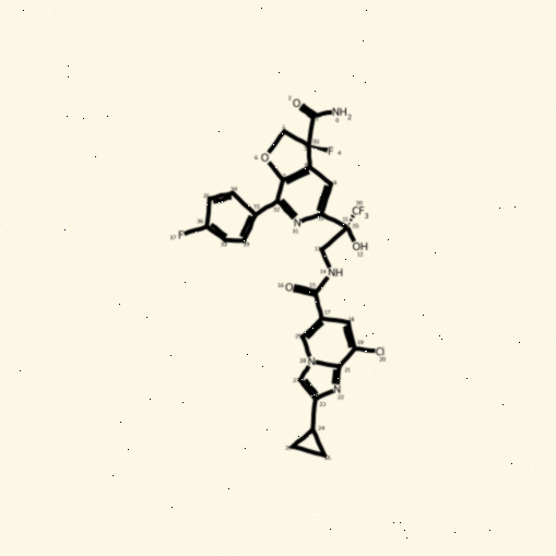 NC(=O)[C@@]1(F)COc2c1cc([C@@](O)(CNC(=O)c1cc(Cl)c3nc(C4CC4)cn3c1)C(F)(F)F)nc2-c1ccc(F)cc1